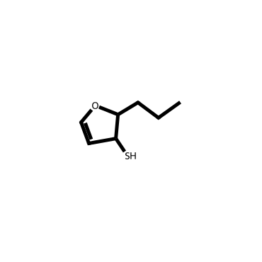 CCCC1OC=CC1S